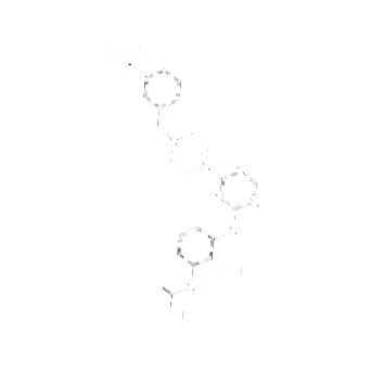 CC(=O)Nc1cccc(Nc2ncnc(N3CCN(Cc4cccc(C(F)(F)F)c4)CC3)n2)c1C